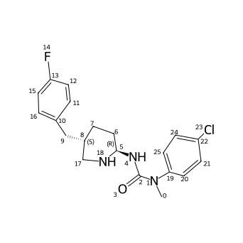 CN(C(=O)N[C@@H]1CC[C@@H](Cc2ccc(F)cc2)CN1)c1ccc(Cl)cc1